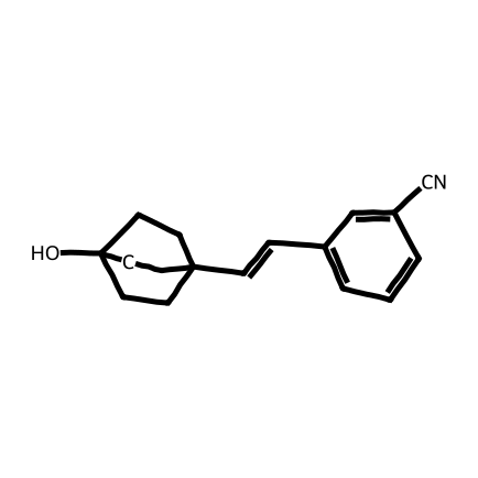 N#Cc1cccc(/C=C/C23CCC(O)(CC2)CC3)c1